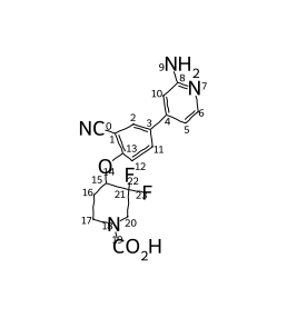 N#Cc1cc(-c2ccnc(N)c2)ccc1OC1CCN(C(=O)O)CC1(F)F